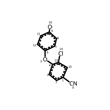 N#Cc1ccc(Oc2ccc([O])cc2)c(Cl)c1